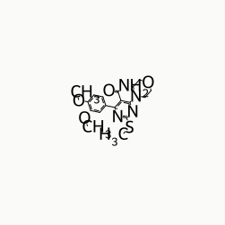 COc1ccc(-c2nc(SC)nc(N3CCOCC3)c2C(N)=O)cc1OC